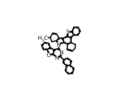 CC1C=Cc2c(n(-c3nc(-c4ccc5ccccc5c4)nc4oc5ccccc5c34)c3c4c(c5c6ccccc6sc5c23)CCC=C4)C1